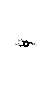 NCc1ccc(CO)c(O)c1